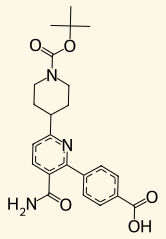 CC(C)(C)OC(=O)N1CCC(c2ccc(C(N)=O)c(-c3ccc(C(=O)O)cc3)n2)CC1